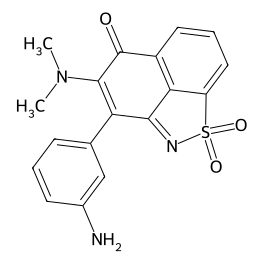 CN(C)C1=C(c2cccc(N)c2)C2=NS(=O)(=O)c3cccc(c32)C1=O